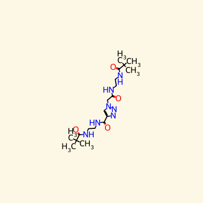 CC(C)(C)C(=O)NCCNC(=O)Cn1cc(C(=O)NCCNC(=O)C(C)(C)C)nn1